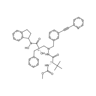 COC(=O)N[C@H](C(=O)NN(Cc1cccc(C#Cc2ccccn2)c1)C[C@@](O)(Cc1ccccc1)C(=O)N(O)C1CCc2ccccc21)C(C)(C)C